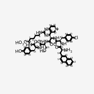 N=C(N)NCCCC[C@@H](NC(=O)[C@H](Cc1ccc(O)cc1)NC(=O)[C@H](CO)NC(=O)[C@@H](Cc1cccnc1)NC(=O)[C@@H](Cc1ccc(Cl)cc1)NC(=O)[C@H](N)Cc1ccc2ccccc2c1)C(=O)O